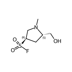 CN1C[C@H](S(=O)(=O)F)C[C@H]1CO